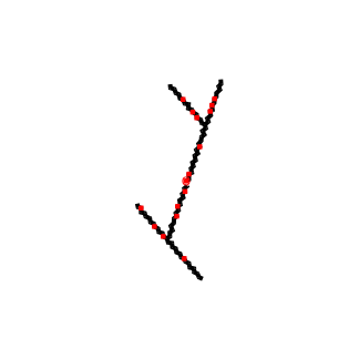 CCCCCCCCCCCCCCCCC(CCCCCCCCCCCCCC)CCCCCCCCCCCCCCCCCOCCCCCCCCCCCCCCCCCC(CCCCCCCCCCCCCC)CCCCCCCCCCCCCCCC